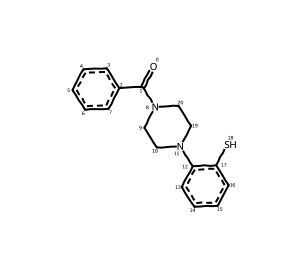 O=C(c1ccccc1)N1CCN(c2ccccc2S)CC1